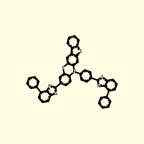 c1ccc(-c2cccc3sc(-c4ccc(N5c6ccc(-c7nc8c(-c9ccccc9)cccc8s7)cc6Sc6cc7c(cc65)sc5ccccc57)cc4)nc23)cc1